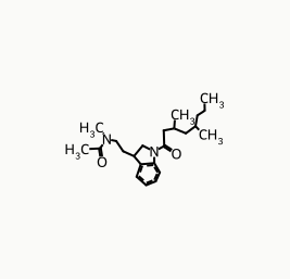 CCCC(C)CC(C)CC(=O)N1CC(CCN(C)C(C)=O)c2ccccc21